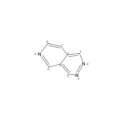 c1cc2cnncc2cn1